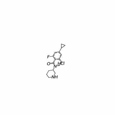 Cl.O=c1c2c(F)cc(C3CC3)cc2ccn1C1CCCNC1